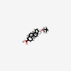 COC(=O)C1=C[C@@H]2CC[C@@H]3[C@H](CC[C@]4(C)[C@@H](CO[Si](C)(C)C(C)(C)C)CC[C@@H]34)[C@@]2(C)CC1